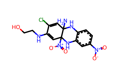 NC12C=C(Cl)C(NCCO)=CC1([N+](=O)[O-])Nc1cc([N+](=O)[O-])ccc1N2